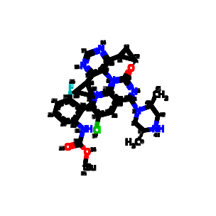 C[C@@H]1CN(c2nc(=O)n(-c3c(C4CC4)ncnc3C3CC3)c3nc(-c4c(F)cccc4NC(=O)OC(C)(C)C)c(Cl)cc23)[C@@H](C)CN1